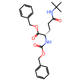 CC(C)(C)NC(=O)CC[C@H](NC(=O)OCc1ccccc1)C(=O)OCc1ccccc1